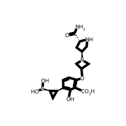 NC(=O)[C@H]1C[C@H](N2CC(Oc3ccc([C@H]4C[C@H]4B(O)O)c(O)c3C(=O)O)C2)CN1